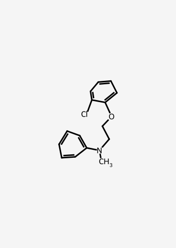 CN(CCOc1ccccc1Cl)c1ccccc1